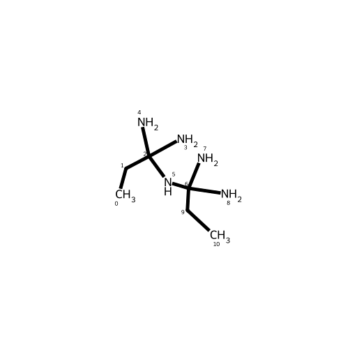 CCC(N)(N)NC(N)(N)CC